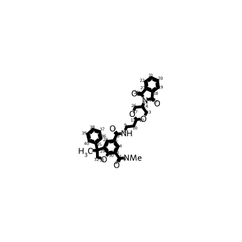 CNC(=O)c1cc(C(=O)NCCC2OCC(N3C(=O)c4ccccc4C3=O)CO2)cc2c1OCC2(C)c1ccccc1